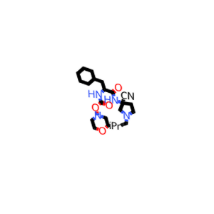 CC(C)CN1CCC(C#N)(NC(=O)C(CC2CCCCC2)NC(=O)ON2CCOCC2)C1